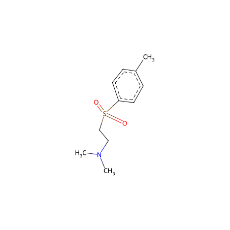 Cc1ccc(S(=O)(=O)CCN(C)C)cc1